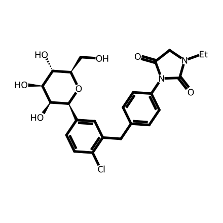 CCN1CC(=O)N(c2ccc(Cc3cc([C@@H]4O[C@H](CO)[C@@H](O)[C@H](O)[C@@H]4O)ccc3Cl)cc2)C1=O